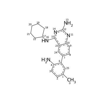 Cc1ccc(N)c(-c2ccc3nc(N)nc(NC4CCCCC4)c3c2)c1